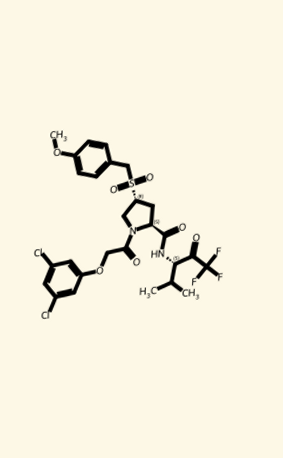 COc1ccc(CS(=O)(=O)[C@@H]2C[C@@H](C(=O)N[C@H](C(=O)C(F)(F)F)C(C)C)N(C(=O)COc3cc(Cl)cc(Cl)c3)C2)cc1